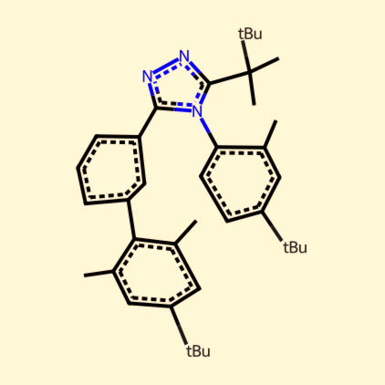 Cc1cc(C(C)(C)C)ccc1-n1c(-c2cccc(-c3c(C)cc(C(C)(C)C)cc3C)c2)nnc1C(C)(C)C(C)(C)C